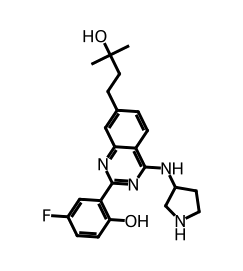 CC(C)(O)CCc1ccc2c(NC3CCNC3)nc(-c3cc(F)ccc3O)nc2c1